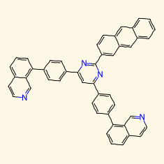 c1ccc2cc3cc(-c4nc(-c5ccc(-c6cccc7ccncc67)cc5)cc(-c5ccc(-c6cccc7ccncc67)cc5)n4)ccc3cc2c1